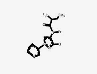 CCN(C(=O)C(CSC)C(F)(F)F)c1cn(-c2cccnc2)nc1Cl